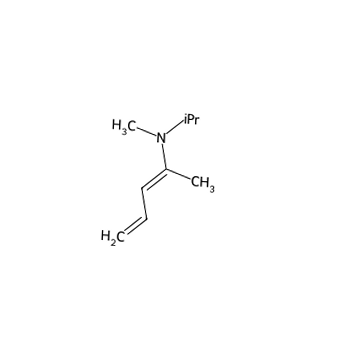 C=C/C=C(\C)N(C)C(C)C